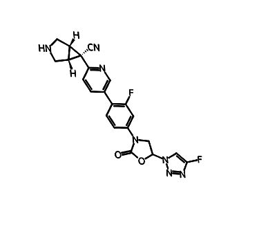 N#C[C@]1(c2ccc(-c3ccc(N4CC(n5cc(F)nn5)OC4=O)cc3F)cn2)[C@@H]2CNC[C@@H]21